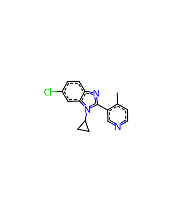 Cc1ccncc1-c1nc2ccc(Cl)cc2n1C1CC1